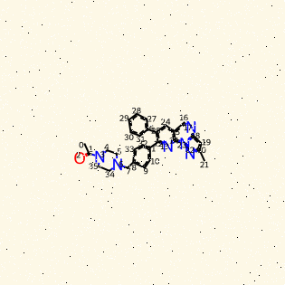 CC(=O)N1CCN(Cc2ccc(-c3nc4c(cnc5cc(C)nn54)cc3-c3ccccc3)cc2)CC1